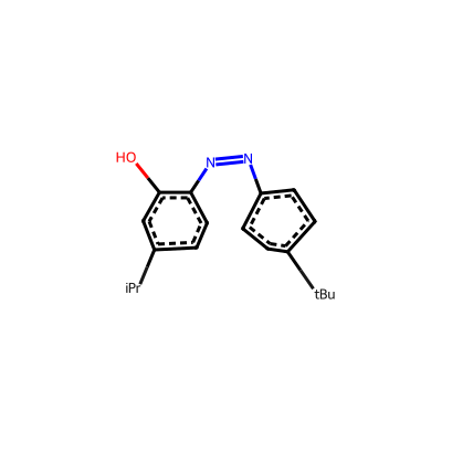 CC(C)c1ccc(/N=N\c2ccc(C(C)(C)C)cc2)c(O)c1